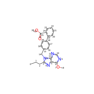 CCCc1nc2c(OC)ncnc2n1Cc1ccc(-c2ccccc2C(=O)OC)cc1